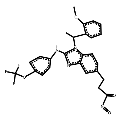 COc1ccccc1C(C)n1c(Nc2ccc(OC(F)(F)F)cc2)nc2cc(CCC(=O)N=O)ccc21